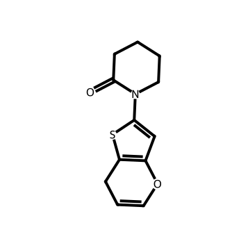 O=C1CCCCN1c1cc2c(s1)CC=CO2